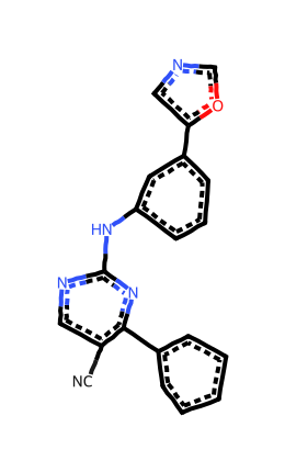 N#Cc1cnc(Nc2cccc(-c3cnco3)c2)nc1-c1ccccc1